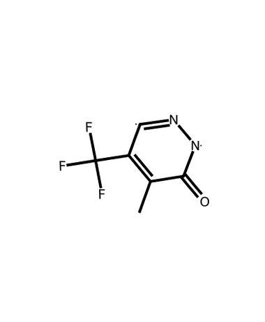 CC1=C(C(F)(F)F)[C]=N[N]C1=O